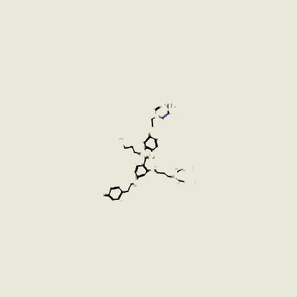 C=CN(/C=C\N)CCOc1ccc2nc(-c3ccc(OCCc4ccc(Cl)cc4)cc3OCCCN(CC)CC)n(CCCC)c2c1